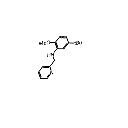 COc1ccc(C(C)(C)C)cc1NCc1ccccn1